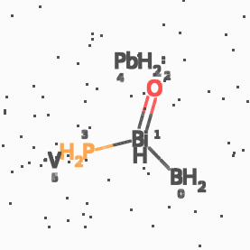 [BH2][BiH](=[O])[PH2].[PbH2].[V]